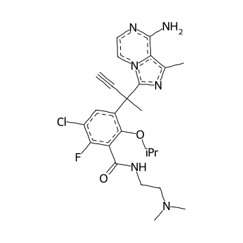 C#CC(C)(c1cc(Cl)c(F)c(C(=O)NCCN(C)C)c1OC(C)C)c1nc(C)c2c(N)nccn12